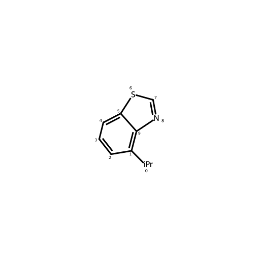 CC(C)c1cccc2scnc12